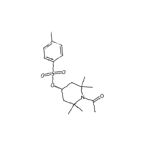 CC(=O)N1C(C)(C)CC(OS(=O)(=O)c2ccc(C)cc2)CC1(C)C